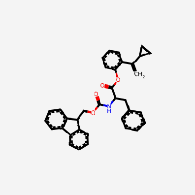 C=C(c1ccccc1OC(=O)C(Cc1ccccc1)NC(=O)OCC1c2ccccc2-c2ccccc21)C1CC1